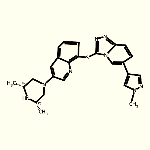 C[C@@H]1CN(c2cnc3c(Sc4nnc5ccc(-c6cnn(C)c6)cn45)cccc3c2)C[C@H](C)N1